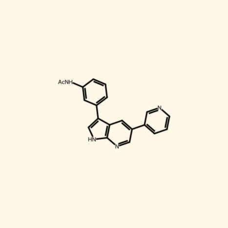 CC(=O)Nc1cccc(-c2c[nH]c3ncc(-c4cccnc4)cc23)c1